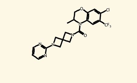 CC1COc2cc(Cl)c(C(F)(F)F)cc2N1C(=O)N1CC2(C1)CN(c1ncccn1)C2